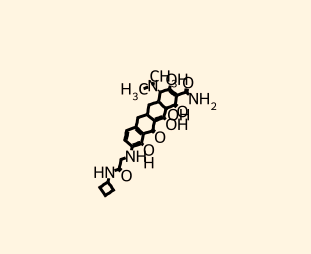 CN(C)[C@@H]1C(O)=C(C(N)=O)C(=O)C2(O)C(O)=C3C(=O)c4c(ccc(NCC(=O)NC5CCC5)c4O)CC3CC12